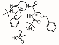 CC(C)(N)C(=O)N[C@H](COCc1ccccc1)C(=O)N1CCC2=NN(C(C)(C)C)C(=O)[C@]2(Cc2ccccc2)C1.CS(=O)(=O)O